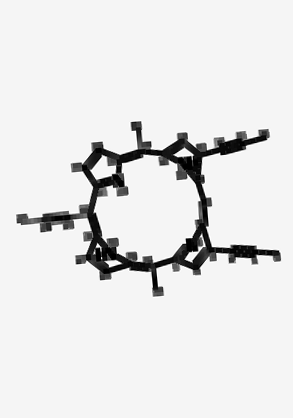 CC#CC1=Cc2nc1cc1[nH]c(cc1C#CC)c(C)c1nc(c(C#CC)c3ccc([nH]3)c2C)C=C1